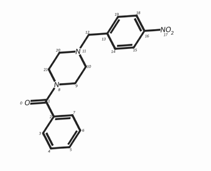 O=C(c1[c]cccc1)N1CCN(Cc2ccc([N+](=O)[O-])cc2)CC1